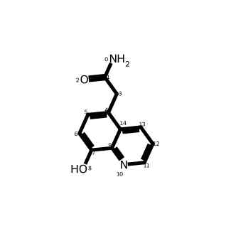 NC(=O)Cc1ccc(O)c2ncccc12